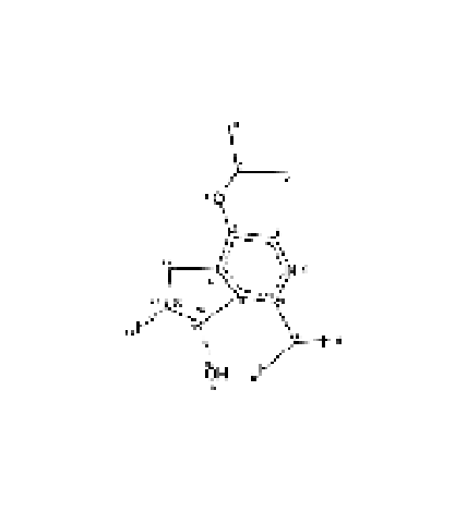 CC(C)Oc1cnc(C(F)F)c2c1C[C@@H](F)[C@H]2O